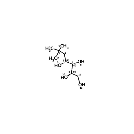 CC(C)(C)C[C@@H](O)[C@H](O)[C@H](O)CO